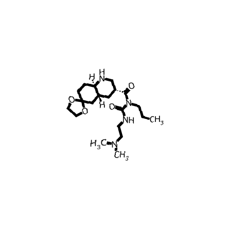 CCCN(C(=O)NCCN(C)C)C(=O)[C@H]1CN[C@@H]2CCC3(C[C@H]2C1)OCCO3